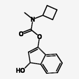 CN(C(=O)OC1=CC(O)c2ccccc21)C1CCC1